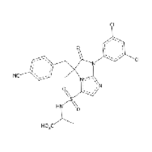 CC(NS(=O)(=O)c1cnc2n1C(C)(Cc1ccc(C#N)cc1)C(=O)N2c1cc(Cl)cc(Cl)c1)C(=O)O